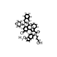 Cn1ccc2cc(N(CCCO)C(=O)c3cc(-c4cc(Cl)ccc4C(=O)N4Cc5ccccc5C[C@H]4CN4CCOCC4)n4c3CCCC4)ccc21